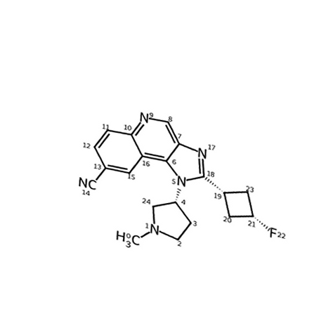 CN1CC[C@@H](n2c3c(cnc4ccc(C#N)cc43)nc2[C@H]2C[C@@H](F)C2)C1